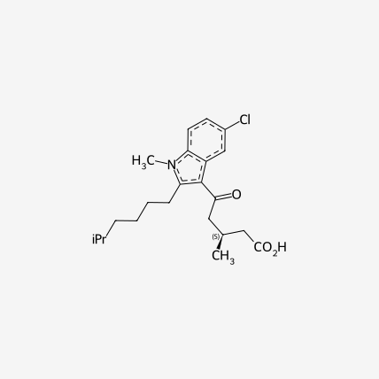 CC(C)CCCCc1c(C(=O)C[C@H](C)CC(=O)O)c2cc(Cl)ccc2n1C